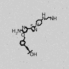 CNCCNC1CCN(c2ncc(-c3cnc(N)c(OCc4cccc(C#CC(C)(C)O)c4)c3)s2)CC1